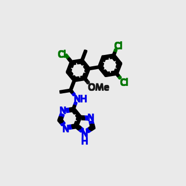 COc1c(C(C)Nc2ncnc3[nH]cnc23)cc(Cl)c(C)c1-c1cc(Cl)cc(Cl)c1